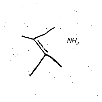 CC(C)=C(C)C.N